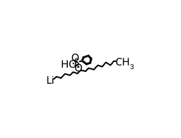 O=S(=O)(O)c1ccccc1.[Li][CH2]CCCCCCCCCCCCCCC